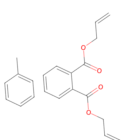 C=CCOC(=O)c1ccccc1C(=O)OCC=C.Cc1ccccc1